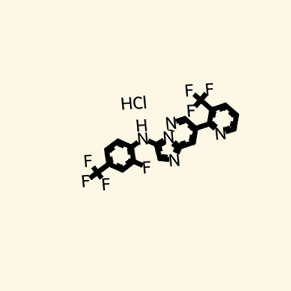 Cl.Fc1cc(C(F)(F)F)ccc1Nc1cnc2cc(-c3ncccc3C(F)(F)F)cnn12